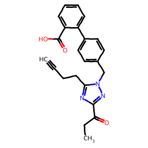 C#CCCc1nc(C(=O)CC)nn1Cc1ccc(-c2ccccc2C(=O)O)cc1